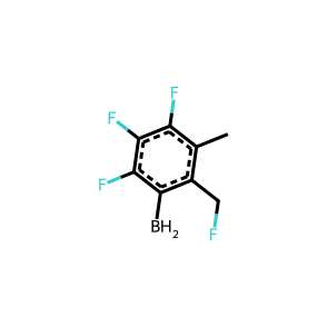 Bc1c(F)c(F)c(F)c(C)c1CF